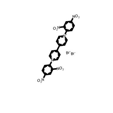 O=[N+]([O-])c1ccc(-[n+]2ccc(-c3cc[n+](-c4ccc([N+](=O)[O-])cc4[N+](=O)[O-])cc3)cc2)c([N+](=O)[O-])c1.[Br-].[Br-]